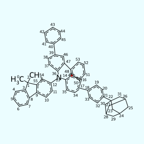 CC1(C)c2ccccc2-c2ccc(N(c3ccc(-c4ccc(C56CC7CC(CC(C7)C5)C6)cc4)cc3)c3ccc(-c4ccccc4)cc3-c3ccccc3)cc21